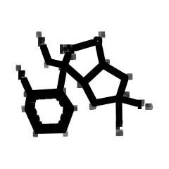 FCC1(c2ccccc2F)NOC2CC(F)(F)CC21